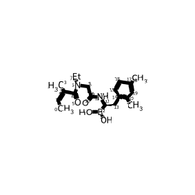 C/C=C(/C)C(=O)N(CC)CC(=O)N[C@@H](Cc1ccc(C)cc1C)B(O)O